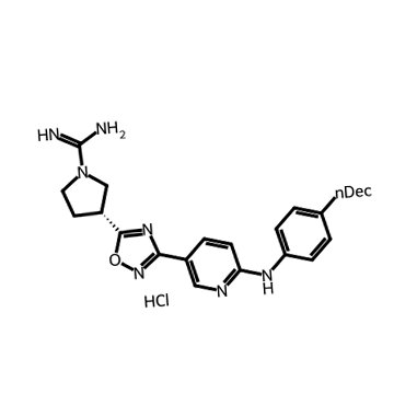 CCCCCCCCCCc1ccc(Nc2ccc(-c3noc([C@@H]4CCN(C(=N)N)C4)n3)cn2)cc1.Cl